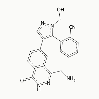 N#Cc1ccccc1-c1c(-c2ccc3c(=O)[nH]nc(CN)c3c2)cnn1CO